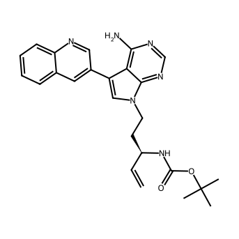 C=C[C@@H](CCn1cc(-c2cnc3ccccc3c2)c2c(N)ncnc21)NC(=O)OC(C)(C)C